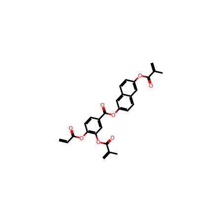 C=CC(=O)Oc1ccc(C(=O)Oc2ccc3cc(OC(=O)C(=C)C)ccc3c2)cc1OC(=O)C(=C)C